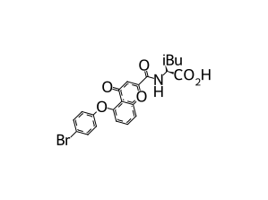 CC[C@H](C)[C@H](NC(=O)c1cc(=O)c2c(Oc3ccc(Br)cc3)cccc2o1)C(=O)O